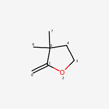 C=C1OCCC1(C)C